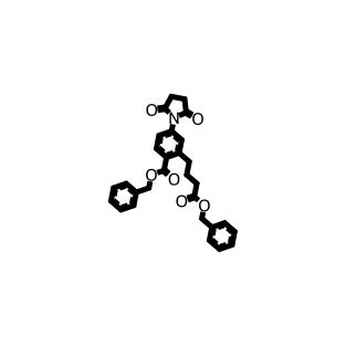 O=C(CCCc1cc(N2C(=O)CCC2=O)ccc1C(=O)OCc1ccccc1)OCc1ccccc1